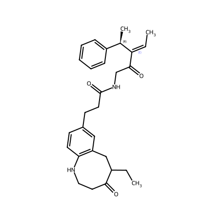 C/C=C(/C(=O)CNC(=O)CCc1ccc2c(c1)CC(CC)C(=O)CCN2)[C@H](C)c1ccccc1